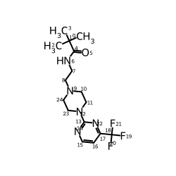 CC(C)(C)C(=O)NCCN1CCN(c2nccc(C(F)(F)F)n2)CC1